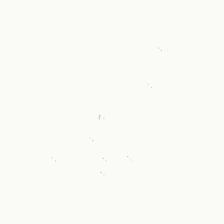 CN(CCN)c1ccc(Nc2cc(NC3CC3)n3ncc(C#N)c3n2)cc1C[S+](C)[O-]